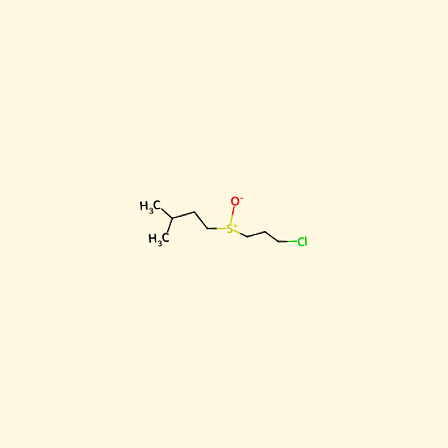 CC(C)CC[S+]([O-])CCCCl